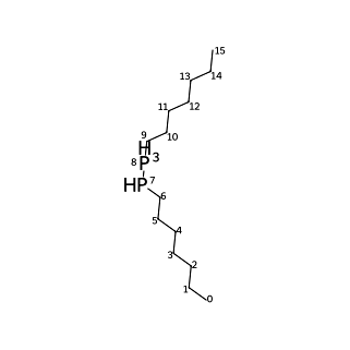 CCCCCCCP[PH3]CCCCCCC